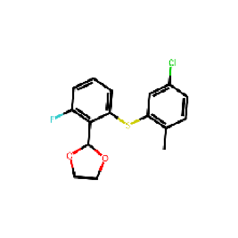 Cc1ccc(Cl)cc1Sc1cccc(F)c1C1OCCO1